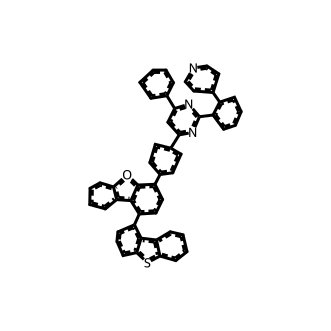 c1ccc(-c2cc(-c3ccc(-c4ccc(-c5cccc6sc7ccccc7c56)c5c4oc4ccccc45)cc3)nc(-c3ccccc3-c3ccncc3)n2)cc1